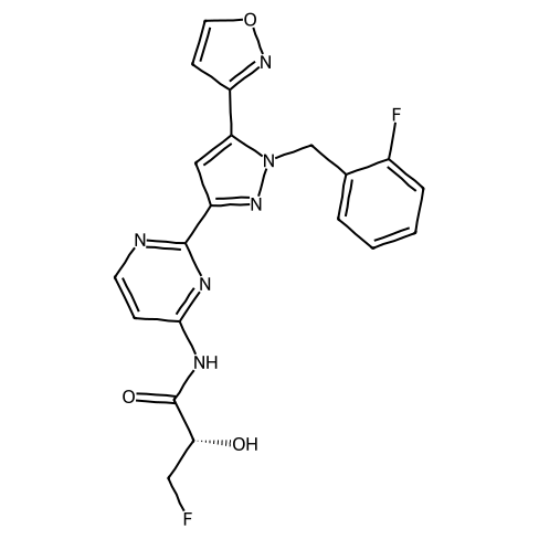 O=C(Nc1ccnc(-c2cc(-c3ccon3)n(Cc3ccccc3F)n2)n1)[C@H](O)CF